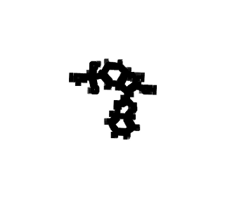 NS(=O)(=O)c1ccc2[nH]c(O)c(-c3nc4ccccc4s3)c2c1